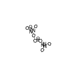 c1ccc(-c2nc(-c3ccccc3)nc(-c3ccc4oc5c(-c6ccc(-c7nc(-c8ccccc8)c8oc9ccccc9c8n7)cc6)cccc5c4c3)n2)cc1